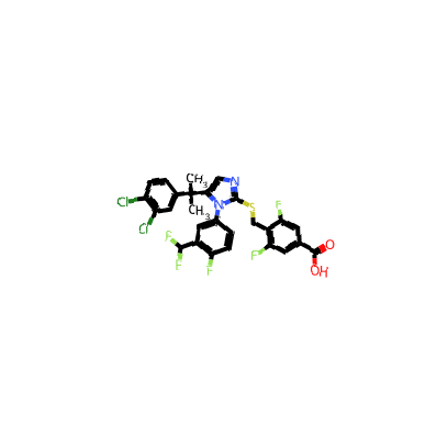 CC(C)(c1ccc(Cl)c(Cl)c1)c1cnc(SCc2c(F)cc(C(=O)O)cc2F)n1-c1ccc(F)c(C(F)F)c1